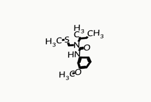 CCC(C)N(CSC)C(=O)Nc1cccc(OC)c1